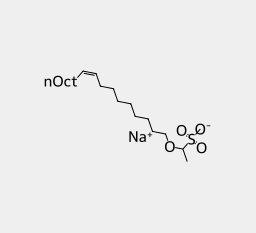 CCCCCCCC/C=C\CCCCCCCCOC(C)S(=O)(=O)[O-].[Na+]